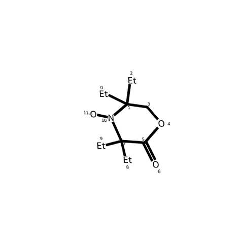 CCC1(CC)COC(=O)C(CC)(CC)N1[O]